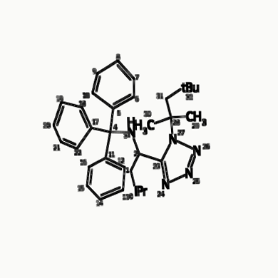 CC(C)CC(NC(c1ccccc1)(c1ccccc1)c1ccccc1)c1nnnn1C(C)(C)CC(C)(C)C